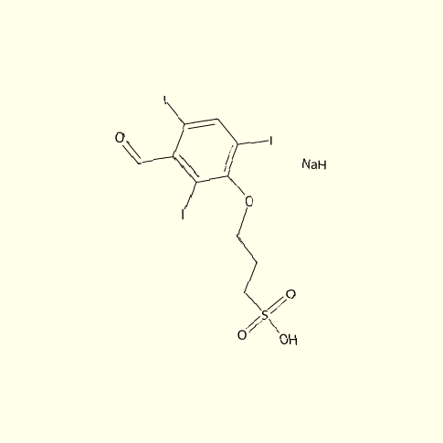 O=Cc1c(I)cc(I)c(OCCCS(=O)(=O)O)c1I.[NaH]